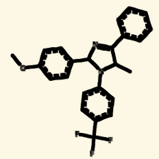 COc1ccc(C2N=C(c3ccccc3)C(C)N2c2ccc(C(F)(F)F)cc2)cc1